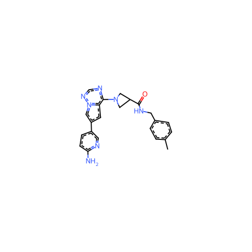 Cc1ccc(CNC(=O)C2CN(c3ncnn4cc(-c5ccc(N)nc5)cc34)C2)cc1